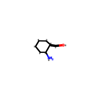 NC1CCCCC1=C=O